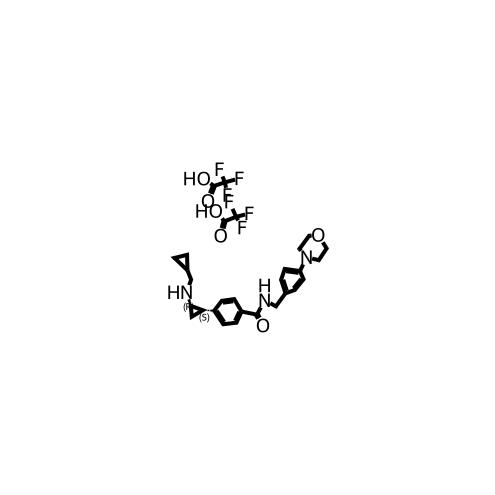 O=C(NCc1ccc(N2CCOCC2)cc1)c1ccc([C@@H]2C[C@H]2NCC2CC2)cc1.O=C(O)C(F)(F)F.O=C(O)C(F)(F)F